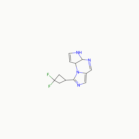 FC1(F)CC(c2ncc3n2C2C=CNC2N=C3)C1